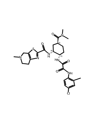 Cc1cc(Cl)ccc1NC(=O)C(=O)N[C@H]1CC[C@H](C(=O)N(C)C)C[C@H]1NC(=O)c1nc2c(s1)CN(C)CC2